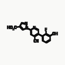 N#Cc1cc(-n2cc(C(=O)O)cn2)ncc1-c1cccc(O)c1F